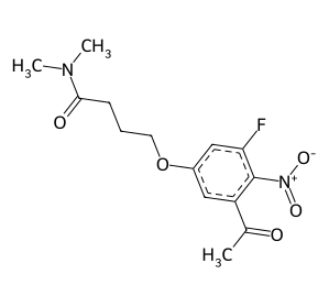 CC(=O)c1cc(OCCCC(=O)N(C)C)cc(F)c1[N+](=O)[O-]